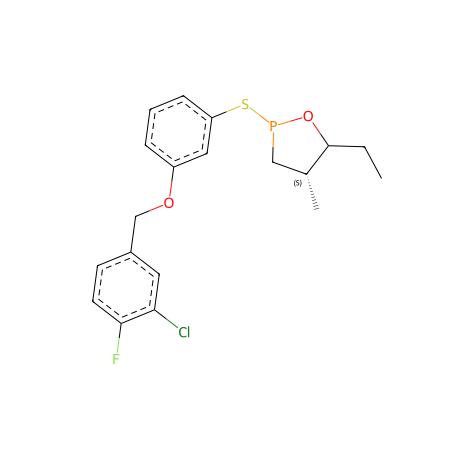 CCC1OP(Sc2cccc(OCc3ccc(F)c(Cl)c3)c2)C[C@H]1C